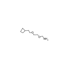 NCOCCOCCC1CCC1